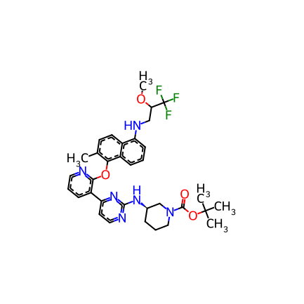 COC(CNc1cccc2c(Oc3ncccc3-c3ccnc(N[C@@H]4CCCN(C(=O)OC(C)(C)C)C4)n3)c(C)ccc12)C(F)(F)F